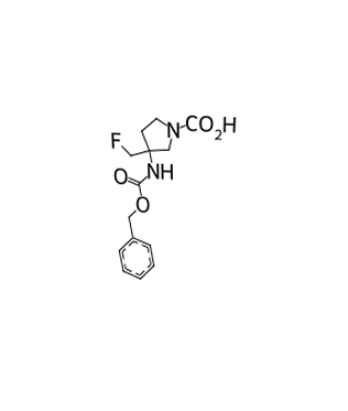 O=C(NC1(CF)CCN(C(=O)O)C1)OCc1ccccc1